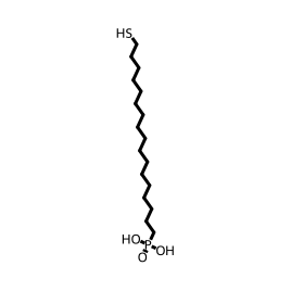 O=P(O)(O)CCCCCCCCCCCCCCCCCS